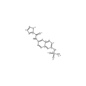 O=C(Nc1ccc2cc(OS(=O)(=O)C(F)(F)F)ccc2c1)c1cccs1